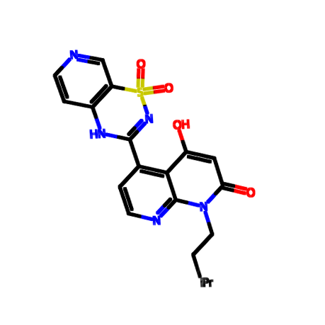 CC(C)CCn1c(=O)cc(O)c2c(C3=NS(=O)(=O)c4cnccc4N3)ccnc21